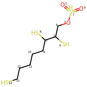 O=[SH](=O)OCC(S)C(S)CCCCCS